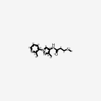 CSCCC(=O)Nc1cn(-c2cccnc2C)nc1C